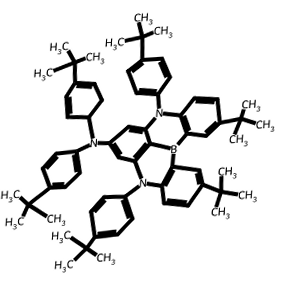 CC(C)(C)C1=CCC(N(c2ccc(C(C)(C)C)cc2)c2cc3c4c(c2)N(c2ccc(C(C)(C)C)cc2)c2ccc(C(C)(C)C)cc2B4c2cc(C(C)(C)C)ccc2N3c2ccc(C(C)(C)C)cc2)C=C1